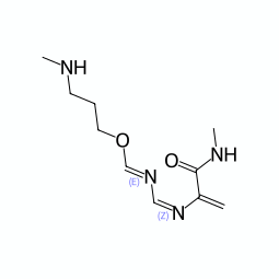 C=C(/N=C\N=C\OCCCNC)C(=O)NC